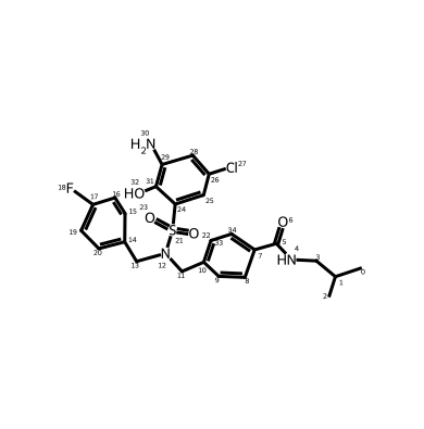 CC(C)CNC(=O)c1ccc(CN(Cc2ccc(F)cc2)S(=O)(=O)c2cc(Cl)cc(N)c2O)cc1